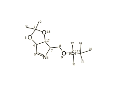 CC1(C)OC2C=NC(CO[Si](C)(C)C(C)(C)C)C2O1